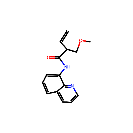 C=CC(COC)C(=O)Nc1cccc2cccnc12